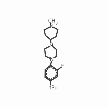 CN1CCC(N2CCN(c3ccc(C(C)(C)C)cc3F)CC2)CC1